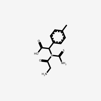 Cc1ccc(C(C(=O)O)N(C(=O)CN)C(N)=S)cc1